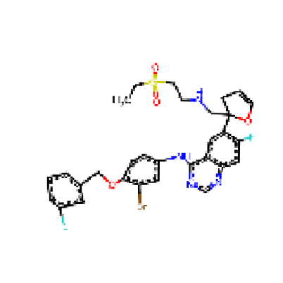 CCS(=O)(=O)CCNCC1(c2cc3c(Nc4ccc(OCc5cccc(F)c5)c(Br)c4)ncnc3cc2F)CC=CO1